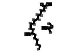 CCCCCCC(O)C/C=C\CCCCCCCC(=O)O.COC(C)O